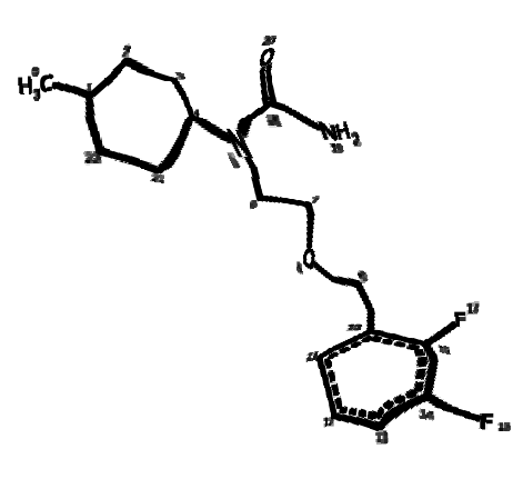 CC1CCC(N(CCOCc2cccc(F)c2F)C(N)=O)CC1